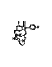 O=CC(Cc1c(-c2ccc(F)cc2)[nH]c2c(F)cc(F)cc12)CN1CCC[C@H]1CO